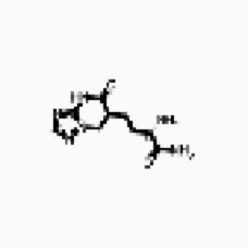 NC(=O)[C@@H](N)CCC1Cn2ncnc2NC1=O